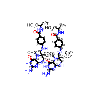 CCCC(NC(=O)c1ccc(NCC2(C(=O)[O-])CNc3nc(N)[nH]c(=O)c3N2C=O)cc1)C(=O)O.CCCC(NC(=O)c1ccc(NCC2(C(=O)[O-])CNc3nc(N)[nH]c(=O)c3N2C=O)cc1)C(=O)O.[Ca+2]